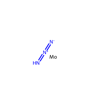 [Mo].[N-]=[N+]=N